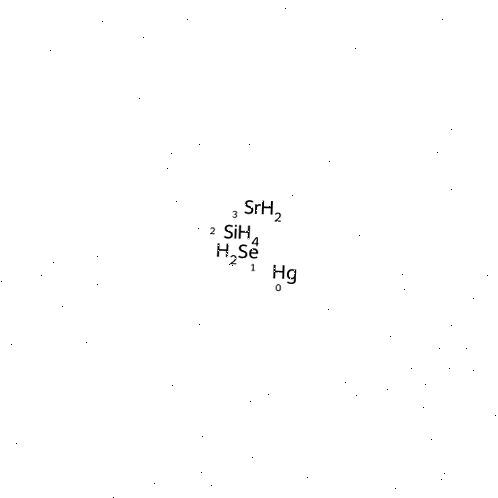 [Hg].[SeH2].[SiH4].[SrH2]